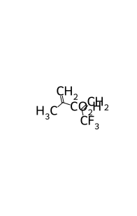 C=C(C)C(=O)O.C=CC(F)(F)F